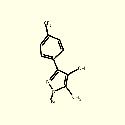 Cc1c(O)c(-c2ccc(C(F)(F)F)cc2)nn1C(C)(C)C